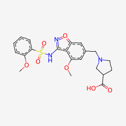 COc1ccccc1S(=O)(=O)Nc1noc2cc(CN3CCC(C(=O)O)C3)cc(OC)c12